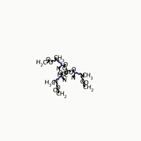 C=CC(=O)OCCN(C)/C=C/C=C(\C#N)C(=O)OCC(CC)(COC(=O)/C(C#N)=C/C=C/N(C)CCOC(=O)C=C)COC(=O)/C(C#N)=C/C=C/N(C)CCOC(=O)C=C